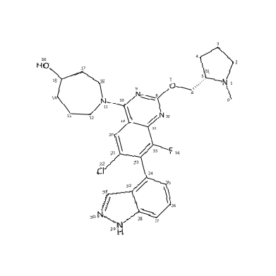 CN1CCC[C@H]1COc1nc(N2CCCC(O)CC2)c2cc(Cl)c(-c3cccc4[nH]ncc34)c(F)c2n1